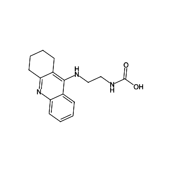 O=C(O)NCCNc1c2c(nc3ccccc13)CCCC2